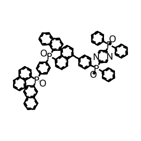 O=P(c1ccccc1)(c1ccccc1)c1cnc(P(=O)(c2ccccc2)c2ccc(-c3cccc4c(P(=O)(c5ccc(P(=O)(c6ccc7ccccc7c6)c6cccc7ccccc67)cc5)c5cccc6ccccc56)cccc34)cc2)cn1